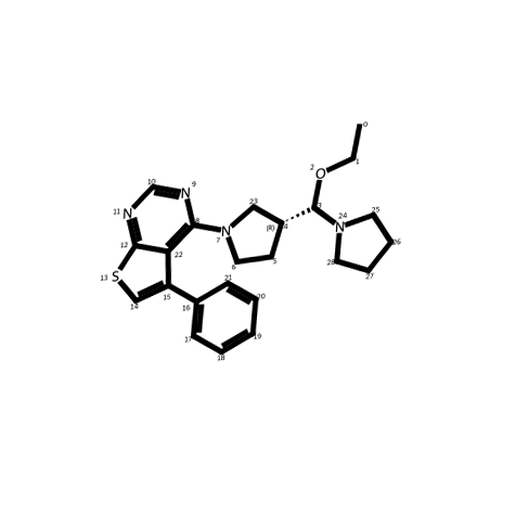 CCOC([C@@H]1CCN(c2ncnc3scc(-c4ccccc4)c23)C1)N1CCCC1